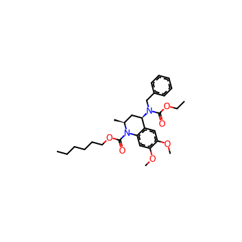 CCCCCCOC(=O)N1c2cc(OC)c(OC)cc2[C@H](N(Cc2ccccc2)C(=O)OCC)C[C@@H]1C